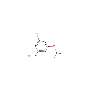 C=[C]c1cc(Cl)cc(OC(C)C)c1